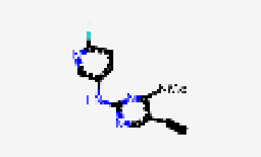 C#Cc1cnc(Nc2ccc(F)nc2)nc1NC